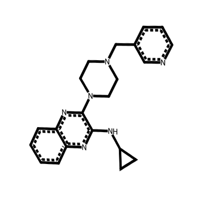 c1cncc(CN2CCN(c3nc4ccccc4nc3NC3CC3)CC2)c1